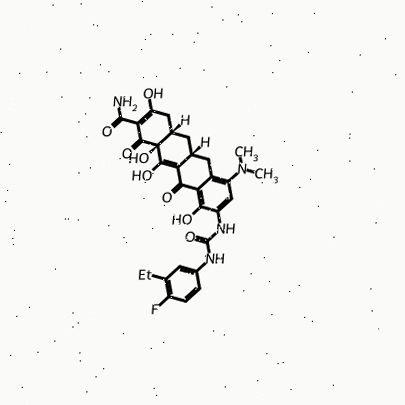 CCc1cc(NC(=O)Nc2cc(N(C)C)c3c(c2O)C(=O)C2=C(O)[C@]4(O)C(=O)C(C(N)=O)=C(O)C[C@@H]4C[C@@H]2C3)ccc1F